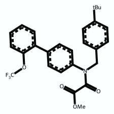 COC(=O)C(=O)N(Cc1ccc(C(C)(C)C)cc1)c1ccc(-c2ccccc2OC(F)(F)F)cc1